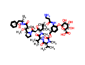 CC[C@H](C)[C@@H]([C@@H](CC(=O)N1CCC[C@H]1[C@H](OC)[C@@H](C)C(=O)N[C@H](C)C[C@]1(O)C=CC=CC1)OC)N(C)C(=O)[C@@H](NC(=O)[C@H](C(C)C)N(C)C(=O)OCc1ccc(O[C@@H]2O[C@H](C(=O)O)[C@@H](O)[C@H](O)[C@H]2O)c(NC(=O)CCN)c1)C(C)C